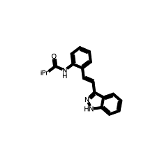 CC(C)C(=O)Nc1ccccc1/C=C/c1n[nH]c2ccccc12